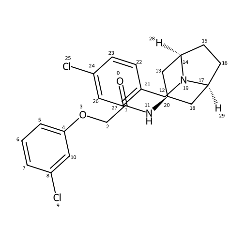 O=C(COc1cccc(Cl)c1)N[C@H]1C[C@H]2CC[C@@H](C1)N2Cc1ccc(Cl)cc1